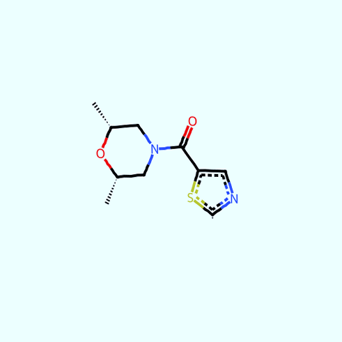 C[C@@H]1CN(C(=O)c2cn[c]s2)C[C@H](C)O1